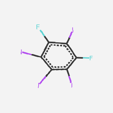 Fc1c(I)c(F)c(I)c(I)c1I